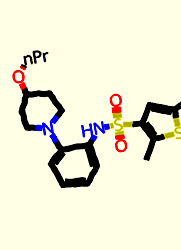 CCCOC1CCN(c2ccccc2NS(=O)(=O)c2cc(C)sc2C)CC1